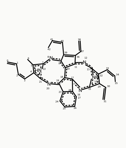 C=C/C=C\c1c(C)c2nc3c4c(nc5[nH]c(nc6c4c(nc1[nH]2)-c1ccccc1-6)c(C=C)c5/C=C\C)C(C=C)=C3/C=C\C